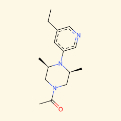 CCc1cncc(N2[C@H](C)CN(C(C)=O)C[C@@H]2C)c1